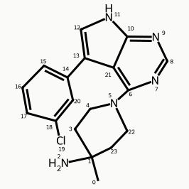 CC1(N)CCN(c2ncnc3[nH]cc(-c4cccc(Cl)c4)c23)CC1